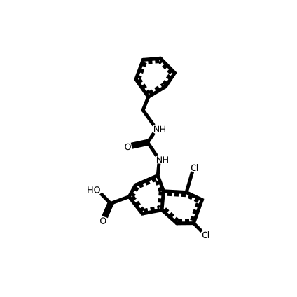 O=C(NCc1ccccc1)Nc1cc(C(=O)O)cc2cc(Cl)cc(Cl)c12